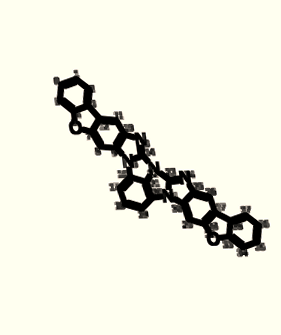 c1ccc2c(c1)oc1cc3c(cc12)nc1n3c2cccc3c2n1c1nc2cc4c(cc2n31)oc1ccccc14